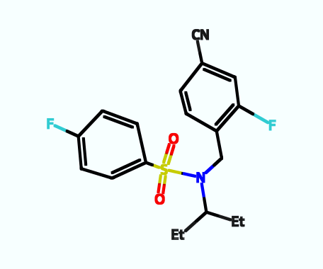 CCC(CC)N(Cc1ccc(C#N)cc1F)S(=O)(=O)c1ccc(F)cc1